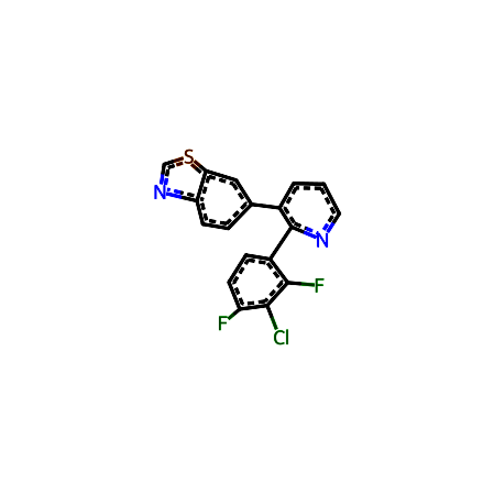 Fc1ccc(-c2ncccc2-c2ccc3ncsc3c2)c(F)c1Cl